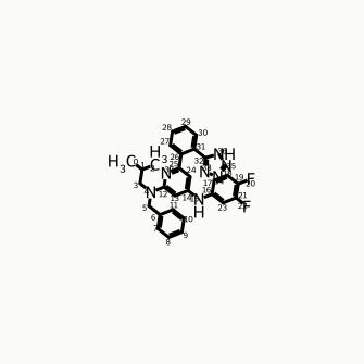 CC(C)CN(Cc1ccccc1)c1cc(Nc2ccc(F)c(F)c2)cc(-c2ccccc2-c2nnn[nH]2)n1